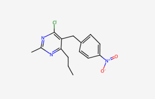 CCCc1nc(C)nc(Cl)c1Cc1ccc([N+](=O)[O-])cc1